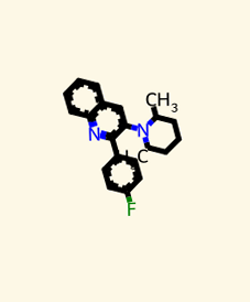 CC1CCCC(C)N1c1cc2ccccc2nc1-c1ccc(F)cc1